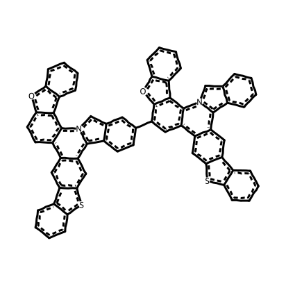 c1ccc2c(c1)cn1c2c2cc3c(cc2c2cc(-c4ccc5c(c4)cn4c5c5cc6sc7ccccc7c6cc5c5ccc6oc7ccccc7c6c54)c4oc5ccccc5c4c21)sc1ccccc13